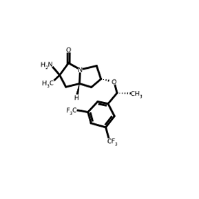 C[C@@H](O[C@@H]1C[C@@H]2CC(C)(N)C(=O)N2C1)c1cc(C(F)(F)F)cc(C(F)(F)F)c1